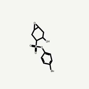 CCC(C)c1ccc(OS(=O)(=O)C2CC3OC3CC2O)cc1